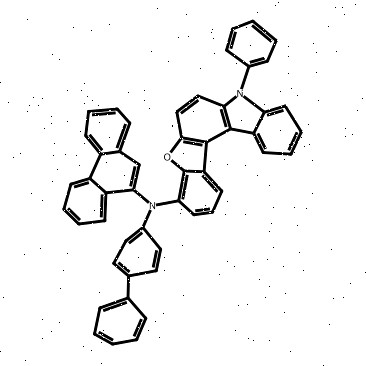 c1ccc(-c2ccc(N(c3cc4ccccc4c4ccccc34)c3cccc4c3oc3ccc5c(c6ccccc6n5-c5ccccc5)c34)cc2)cc1